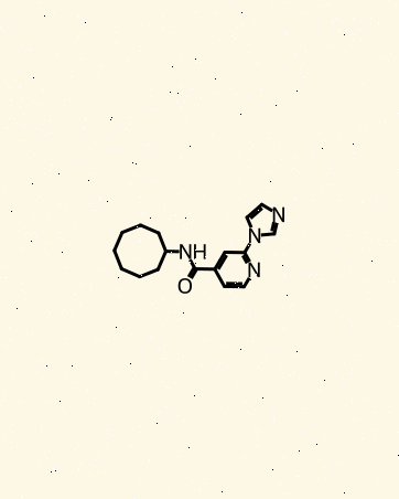 O=C(NC1CCCCCCC1)c1ccnc(-n2ccnc2)c1